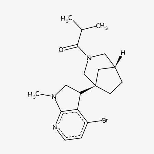 CC(C)C(=O)N1C[C@@H]2CC[C@@](C3CN(C)c4nccc(Br)c43)(C2)C1